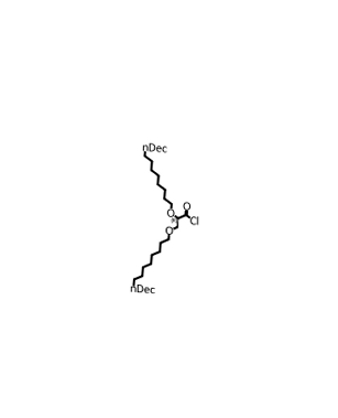 CCCCCCCCCCCCCCCCCCOC[C@@H](OCCCCCCCCCCCCCCCCCC)C(=O)Cl